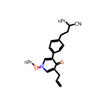 C=CCc1cn(OCCC)cc(-c2ccc(CCC(C#N)CCC)cc2)c1=S